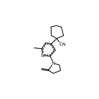 C=C1CCCN1c1cc(C2(C#N)CCCCC2)cc(C)n1